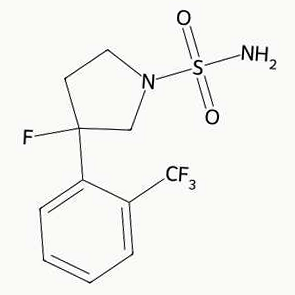 NS(=O)(=O)N1CCC(F)(c2ccccc2C(F)(F)F)C1